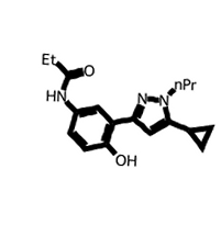 CCCn1nc(-c2cc(NC(=O)CC)ccc2O)cc1C1CC1